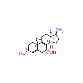 C[C@]12CC[C@H](O)C=C1C[C@H](O)C1=C2CC[C@]2(C)[C@@H](N)CC[C@@H]12